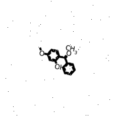 COc1ccc(C(=O)c2ccccc2)c(O)c1.[CH3]